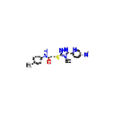 CCc1ccc(NC(=O)CSc2nnc(-c3ccc(N(C)C)cn3)n2CC)cc1